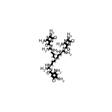 N/C(=N\C(=O)c1cc(Cl)c(N)cc1N)NCCCN(CCCN/C(N)=N/C(=O)c1nc(Cl)c(N)nc1N)CCCN/C(N)=N/C(=O)c1nc(Cl)c(N)nc1N